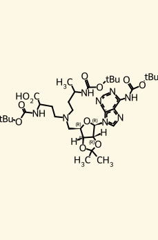 CC(CCN(CCC(NC(=O)OC(C)(C)C)C(=O)O)C[C@H]1O[C@@H](n2cnc3c(NC(=O)OC(C)(C)C)ncnc32)[C@@H]2OC(C)(C)O[C@@H]21)NC(=O)OC(C)(C)C